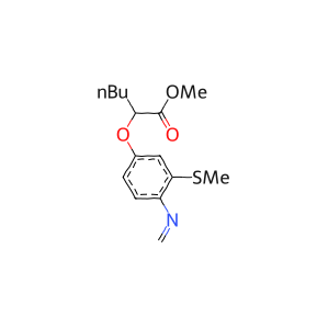 C=Nc1ccc(OC(CCCC)C(=O)OC)cc1SC